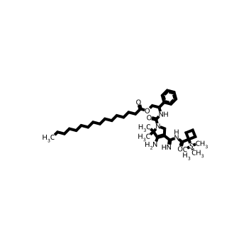 CCCCCCCCCCCCCCCC(=O)OCC(NC(=O)N1CC(C(=N)NC(=O)C2(S(C)(C)C)CCC2)=C(N)C1(C)C)c1ccccc1